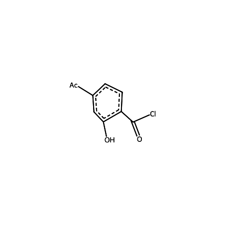 CC(=O)c1ccc(C(=O)Cl)c(O)c1